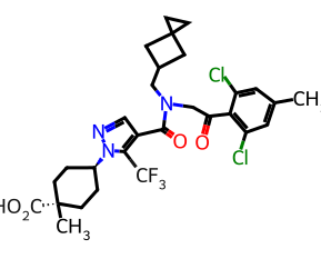 Cc1cc(Cl)c(C(=O)CN(CC2CC3(CC3)C2)C(=O)c2cnn([C@H]3CC[C@](C)(C(=O)O)CC3)c2C(F)(F)F)c(Cl)c1